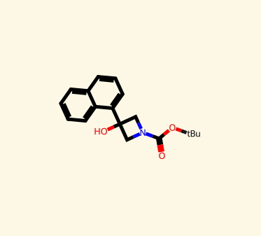 CC(C)(C)OC(=O)N1CC(O)(c2cccc3ccccc23)C1